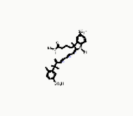 C=C(/C=C/C=C/C=C1/N(CC)c2ccc(S(=O)(=O)O)cc2C1(C)CCCC(=O)NCC)C(C)(C)c1cc(S(=O)(=O)O)ccc1C